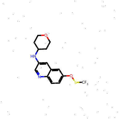 FC(F)(F)SOc1ccc2ncc(NC3CCOCC3)cc2c1